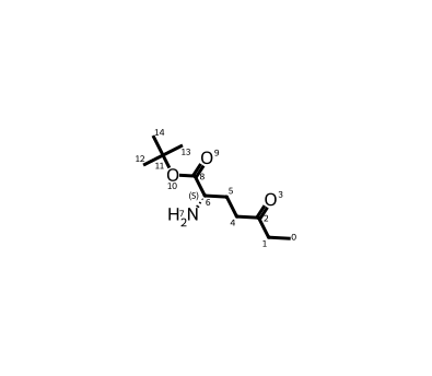 CCC(=O)CC[C@H](N)C(=O)OC(C)(C)C